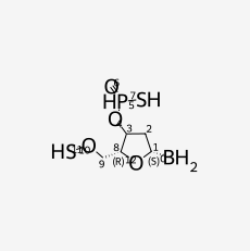 B[C@H]1CC(O[PH](=O)S)[C@@H](COS)O1